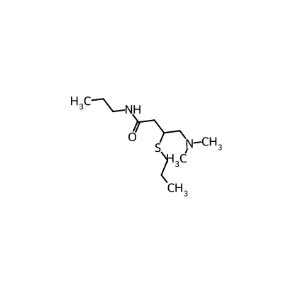 CCCNC(=O)CC(CN(C)C)SCCC